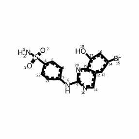 NS(=O)(=O)c1ccc(Nc2ncc3cc(Br)cc(O)c3n2)cc1